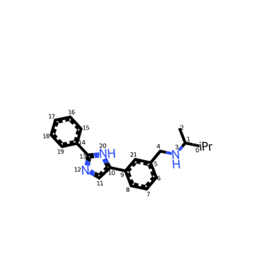 CC(C)C(C)NCc1cccc(-c2cnc(-c3ccccc3)[nH]2)c1